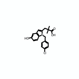 CC(C)(Cc1cc2cc(O)ccc2n1Cc1ccc(Cl)cc1)C(=O)O